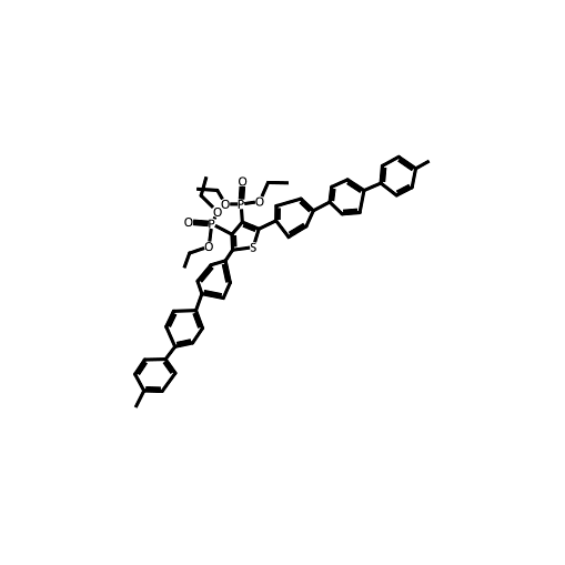 CCOP(=O)(OCC)c1c(-c2ccc(-c3ccc(-c4ccc(C)cc4)cc3)cc2)sc(-c2ccc(-c3ccc(-c4ccc(C)cc4)cc3)cc2)c1P(=O)(OCC)OCC